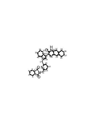 O=C1c2ccccc2C(=O)N1Cc1cccc(Cn2cc(-c3nc4cc5ccccc5cc4[nH]c3=O)c3ccccc32)n1